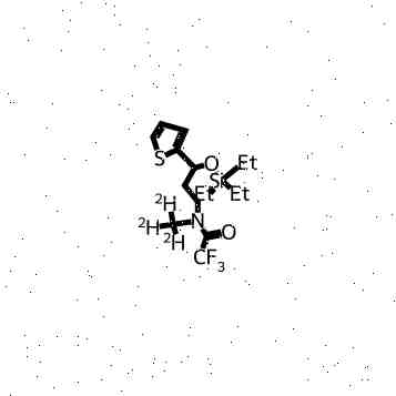 [2H]C([2H])([2H])N(CCC(O[Si](CC)(CC)CC)c1cccs1)C(=O)C(F)(F)F